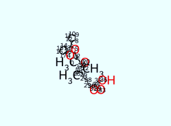 C/C(=C\C(=O)OC(c1ccccc1)c1ccccc1)C1OC1(C)C[C@H](C)CCCC[C@H]1OC(=O)[C@@H]1CO